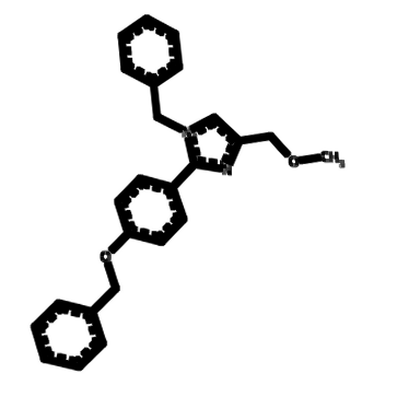 COCc1cn(Cc2ccccc2)c(-c2ccc(OCc3ccccc3)cc2)n1